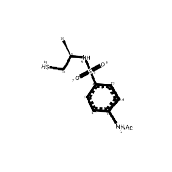 CC(=O)Nc1ccc(S(=O)(=O)N[C@H](C)CS)cc1